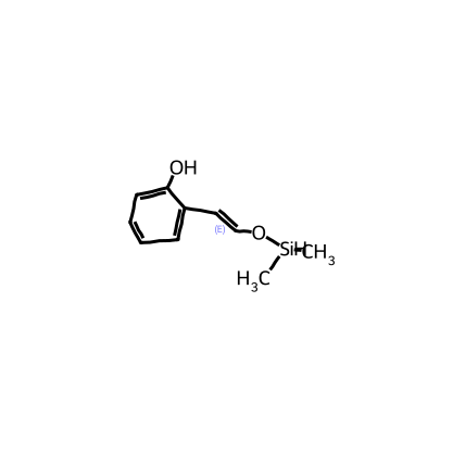 C[SiH](C)O/C=C/c1ccccc1O